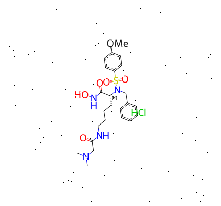 COc1ccc(S(=O)(=O)N(Cc2ccccc2)[C@H](CCCCNC(=O)CN(C)C)C(=O)NO)cc1.Cl